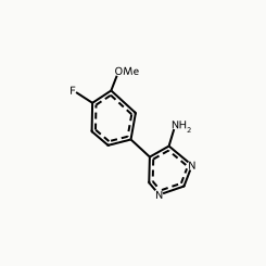 COc1cc(-c2cncnc2N)ccc1F